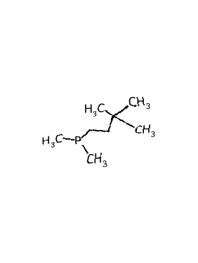 CP(C)CCC(C)(C)C